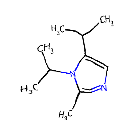 Cc1ncc(C(C)C)n1C(C)C